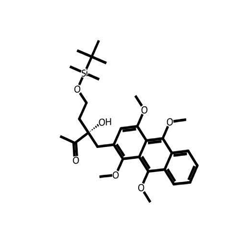 COc1cc(C[C@](O)(CCO[Si](C)(C)C(C)(C)C)C(C)=O)c(OC)c2c(OC)c3ccccc3c(OC)c12